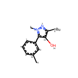 CCCCc1nn(C)c(-c2cccc(C)c2)c1O